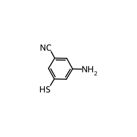 N#Cc1cc(N)cc(S)c1